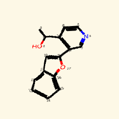 CC(O)c1ccncc1-c1cc2ccccc2o1